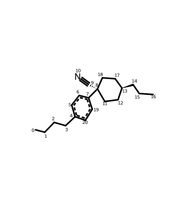 CCCCc1ccc([C@]2(C#N)CC[C@H](CCC)CC2)cc1